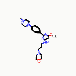 CCOc1cc(NCCCN2CCOCC2)nc(-c2ccc(N3CCN(C)CC3)cc2)n1